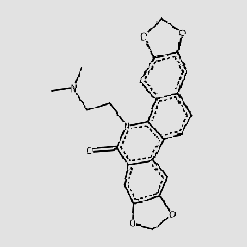 CN(C)CCn1c(=O)c2cc3c(cc2c2ccc4cc5c(cc4c21)OCO5)OCO3